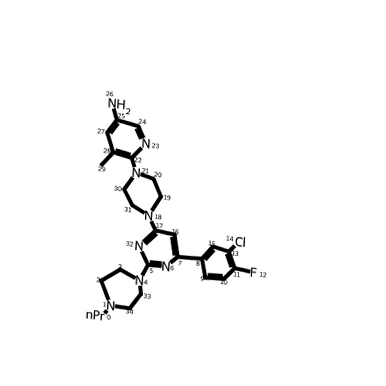 CCCN1CCN(c2nc(-c3ccc(F)c(Cl)c3)cc(N3CCN(c4ncc(N)cc4C)CC3)n2)CC1